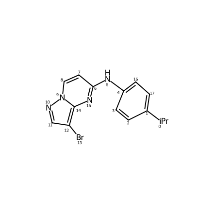 CC(C)c1ccc(Nc2ccn3ncc(Br)c3n2)cc1